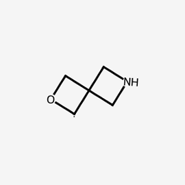 [CH]1OCC12CNC2